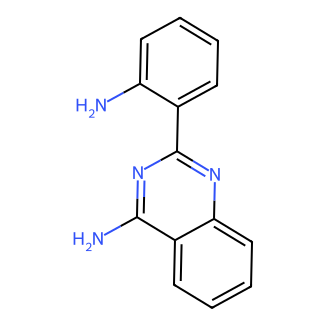 Nc1ccccc1-c1nc(N)c2ccccc2n1